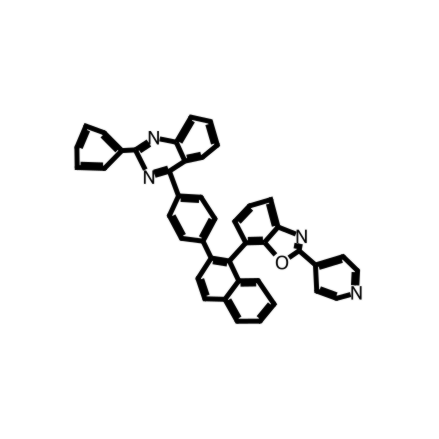 c1ccc(-c2nc(-c3ccc(-c4ccc5ccccc5c4-c4cccc5nc(-c6ccncc6)oc45)cc3)c3ccccc3n2)cc1